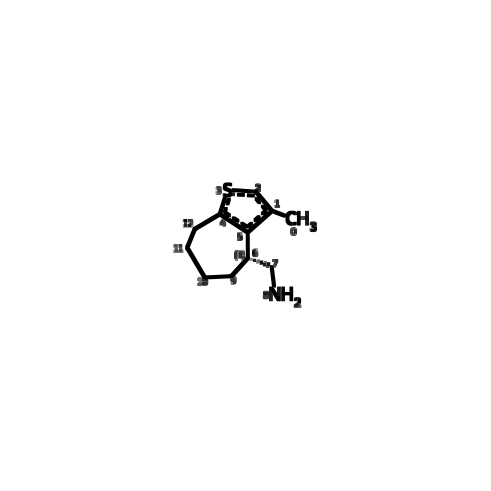 Cc1csc2c1[C@H](CN)CCCC2